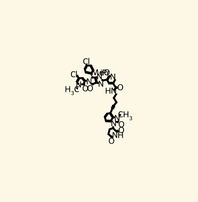 COc1ncc(C(=O)NCCCC#Cc2cccc3c2n(C)c(=O)n3C2CCC(=O)NC2=O)cc1-c1nc2c(n1C(C)C)[C@H](c1ccc(Cl)cc1)N(c1cc(Cl)cn(C)c1=O)C2=O